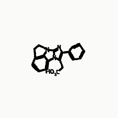 O=C(O)Cc1c(-c2ccccc2)nc2n3c4c(cccc4n12)CC3